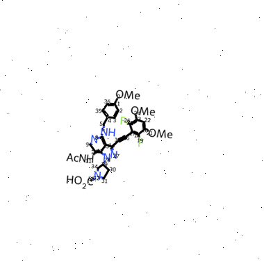 COc1ccc(CNc2ncc(NC(C)=O)c3c2c(C#Cc2c(F)c(OC)cc(OC)c2F)nn3C2CCN(C(=O)O)C2)cc1